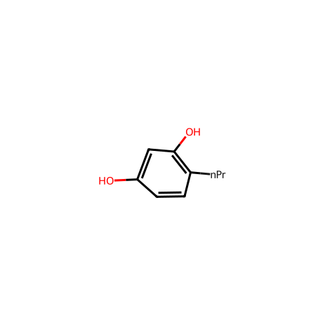 [CH2]CCc1ccc(O)cc1O